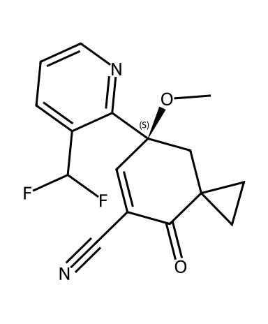 CO[C@]1(c2ncccc2C(F)F)C=C(C#N)C(=O)C2(CC2)C1